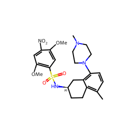 COc1cc(S(=O)(=O)N[C@@H]2CCc3c(C)ccc(N4CCN(C)CC4)c3C2)c(OC)cc1[N+](=O)[O-]